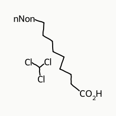 CCCCCCCCCCCCCCCCCC(=O)O.ClC(Cl)Cl